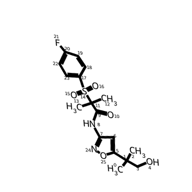 CC(C)(CO)c1cc(NC(=O)C(C)(C)S(=O)(=O)c2ccc(F)cc2)no1